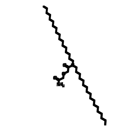 CCCCCCCCCCCCCCCCCCN(CCCCCCCCCCCCCCCCCC)C(=O)COCC(N)=O